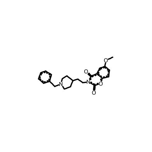 COc1ccc2oc(=O)n(CCC3CCN(Cc4ccccc4)CC3)c(=O)c2c1